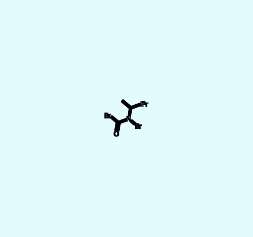 CC(C)C(C)N(Br)C(=O)Br